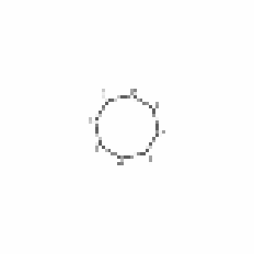 [C]1CCCCCCC1